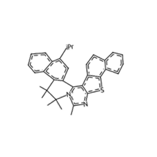 Cc1nc2sc3c4ccccc4ccc3c2c2[n+]1C(C)(C)C(C)(C)c1c-2cc(C(C)C)c2ccccc12